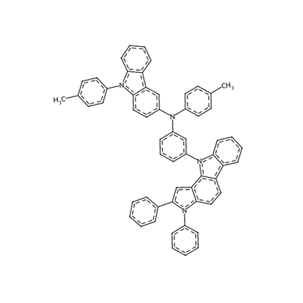 Cc1ccc(N(c2cccc(-n3c4ccccc4c4ccc5c(cc(-c6ccccc6)n5-c5ccccc5)c43)c2)c2ccc3c(c2)c2ccccc2n3-c2ccc(C)cc2)cc1